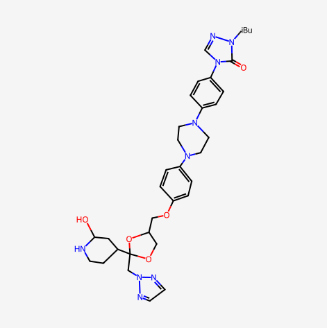 CCC(C)n1ncn(-c2ccc(N3CCN(c4ccc(OCC5COC(Cn6nccn6)(C6CCNC(O)C6)O5)cc4)CC3)cc2)c1=O